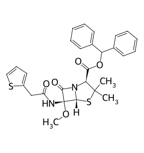 CO[C@]1(NC(=O)Cc2cccs2)C(=O)N2[C@@H](C(=O)OC(c3ccccc3)c3ccccc3)C(C)(C)S[C@@H]21